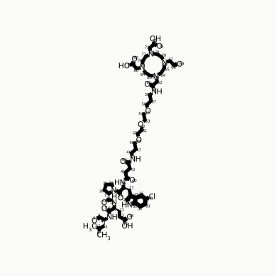 CC(C)C[C@H](C=O)NC(=O)[C@H](CCC(=O)O)NC(=O)[C@@H]1CCCN1C(=O)[C@H](Cc1c[nH]c2ccc(Cl)cc12)NC(=O)CCC(=O)NCCCOCCOCCOCCCNC(=O)CN1CCN(CC=O)CCN(CC(=O)O)CCN(CC(=O)O)CC1